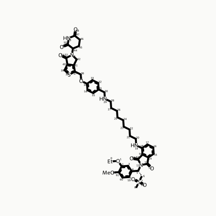 CCOc1cc([C@@H](CS(C)(=O)=O)N2C(=O)c3cccc(NCCCCCCCCCNCc4ccc(OCc5scc6c5CN(C5CCC(=O)NC5=O)C6=O)cc4)c3C2=O)ccc1OC